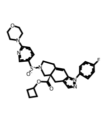 O=C(OC1CCC1)[C@]12Cc3cnn(-c4ccc(F)cc4)c3C=C1CCN([S+]([O-])c1ccc(N3CCOCC3)nc1)C2